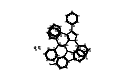 Cc1ccc2c(c1)[CH]([Zr+2]([C]1=C(c3ccccc3)C(c3ccccc3)=CC1c1ccccc1)=[C](c1ccccc1)c1ccccc1)c1cc(C)ccc1-2.[Cl-].[Cl-]